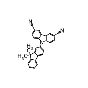 CC1(C)c2ccccc2-c2ccc(-n3c4ccc(C#N)cc4c4cc(C#N)ccc43)cc21